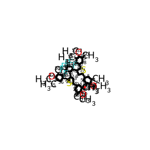 COc1c(C)cc(-c2cc(C3=C(c4cc(-c5cc(C)c(OC)c(C)c5)sc4-c4cc(C)c(OC)c(C)c4)C(F)(F)C(F)(F)C3(F)F)c(-c3cc(C)c(OC)c(C)c3)s2)cc1C